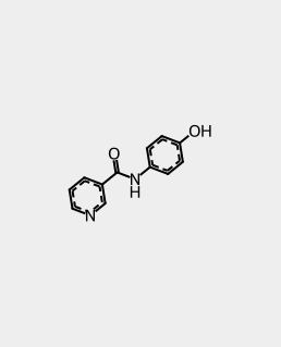 O=C(Nc1ccc(O)cc1)c1cccnc1